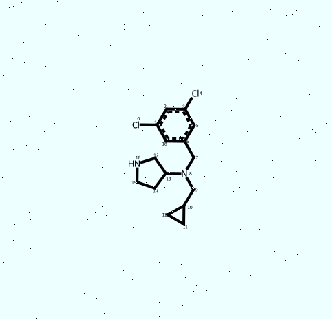 Clc1cc(Cl)cc(CN(CC2CC2)C2CCNC2)c1